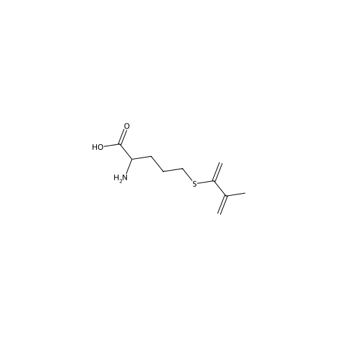 C=C(C)C(=C)SCCCC(N)C(=O)O